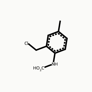 Cc1ccc(NC(=O)O)c(CCl)c1